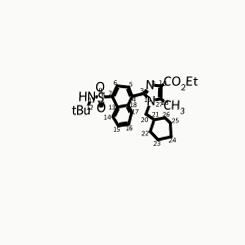 CCOC(=O)c1nc(-c2ccc(S(=O)(=O)NC(C)(C)C)c3ccccc23)n(CC2CCCCC2)c1C